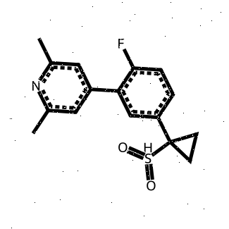 Cc1cc(-c2cc(C3([SH](=O)=O)CC3)ccc2F)cc(C)n1